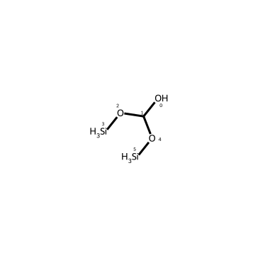 OC(O[SiH3])O[SiH3]